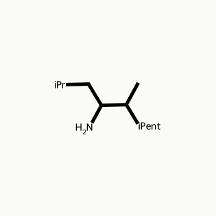 CCCC(C)C(C)C(N)CC(C)C